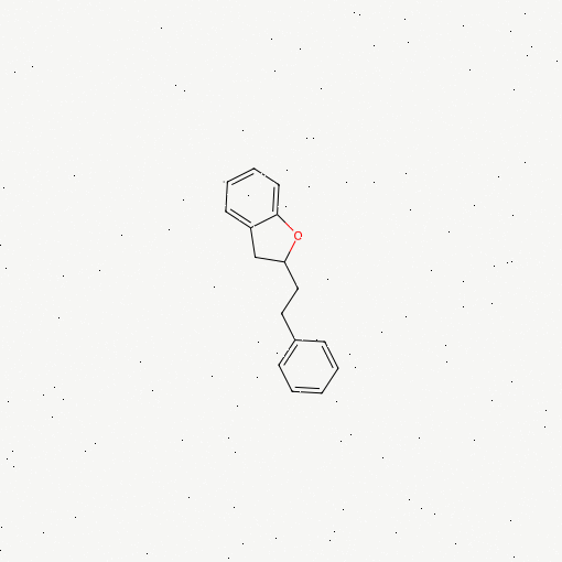 [c]1ccc2c(c1)CC(CCc1ccccc1)O2